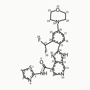 O=C(Nc1nccs1)c1cncc2[nH]c(-c3ccc(N4CCOCC4)cc3C(F)F)nc12